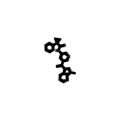 Cn1cc(C(=O)c2cncc(NC(=O)C3(c4ccccc4)CC3)c2)c2cncnc21